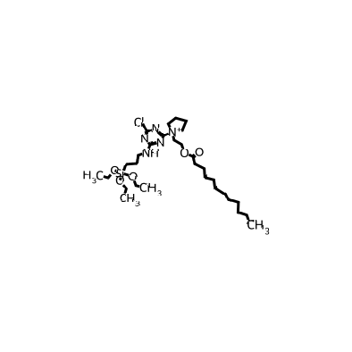 CCCCCCCCCCCC(=O)OCC[N+]1(c2nc(Cl)nc(NCCC[Si](OCC)(OCC)OCC)n2)CCCC1